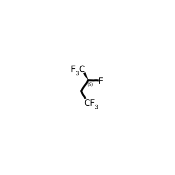 F[C@@H](CC(F)(F)F)C(F)(F)F